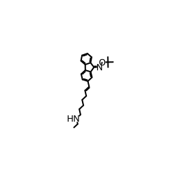 CCNCCCCC/C=C/c1ccc2c(c1)/C(=N/OC(C)(C)C)c1ccccc1-2